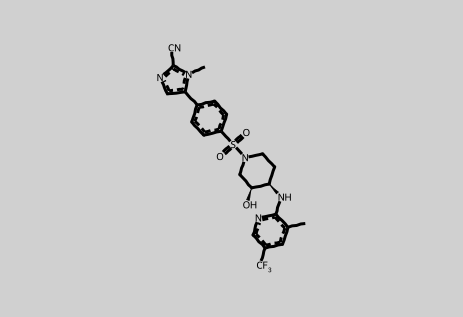 Cc1cc(C(F)(F)F)cnc1N[C@@H]1CCN(S(=O)(=O)c2ccc(-c3cnc(C#N)n3C)cc2)C[C@@H]1O